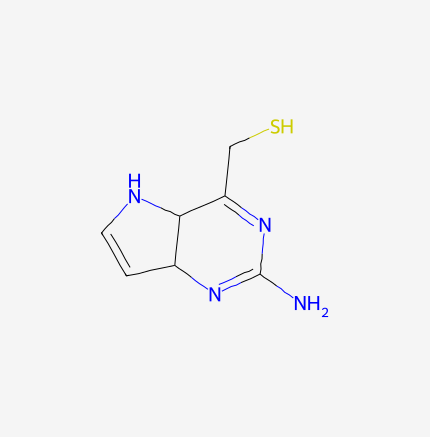 NC1=NC2C=CNC2C(CS)=N1